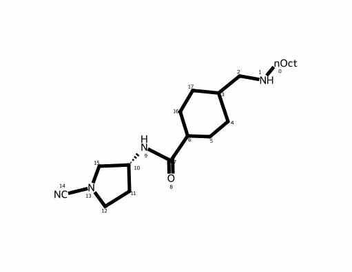 CCCCCCCCNCC1CCC(C(=O)N[C@@H]2CCN(C#N)C2)CC1